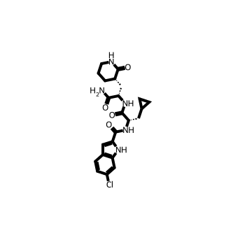 NC(=O)[C@H](C[C@@H]1CCCNC1=O)NC(=O)[C@H](CC1CC1)NC(=O)c1cc2ccc(Cl)cc2[nH]1